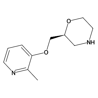 Cc1ncccc1OC[C@@H]1CNCCO1